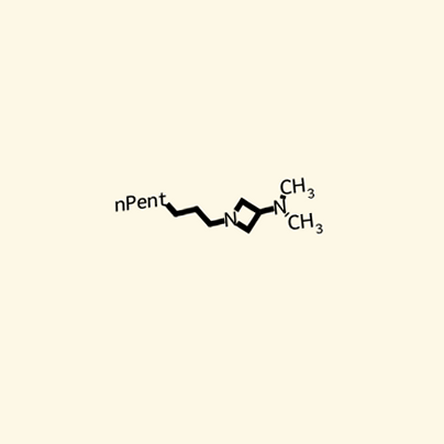 CCCCCCCCN1CC(N(C)C)C1